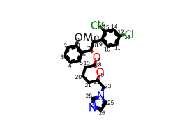 COc1ccccc1C(Cc1ccc(Cl)cc1Cl)OC1CCCC(Cn2ccnc2)O1